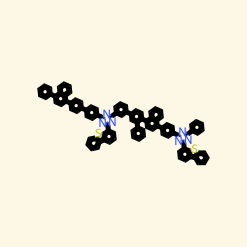 c1ccc(-c2nc(-c3ccc(-c4ccc(-c5ccc(-c6cccc(-c7nc(-c8ccc(-c9ccc(-c%10ccc(-c%11ccccc%11)c%11ccccc%10%11)cc9)cc8)nc(-c8cccc9c8sc8ccccc89)n7)c6)cc5-c5ccccc5)c5ccccc45)cc3)nc(-c3cccc4c3sc3ccccc34)n2)cc1